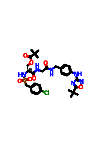 CC(C)(C)C(=O)OC[C@@H](NS(=O)(=O)Cc1ccc(Cl)cc1)C(=O)NCC(=O)NCc1ccc(Nc2noc(C(C)(C)C)n2)cc1